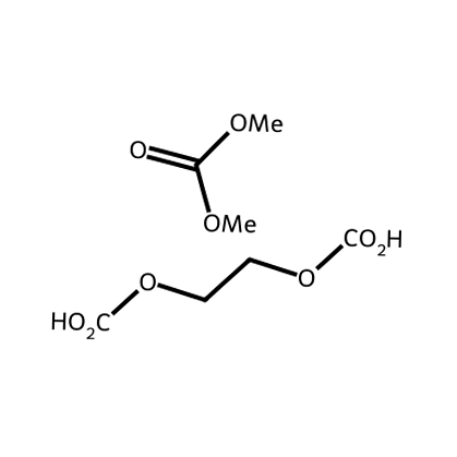 COC(=O)OC.O=C(O)OCCOC(=O)O